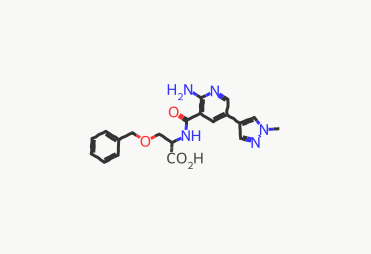 Cn1cc(-c2cnc(N)c(C(=O)NC(COCc3ccccc3)C(=O)O)c2)cn1